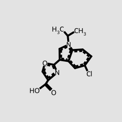 CC(C)n1cc(-c2nc(C(=O)O)co2)c2cc(Cl)ccc21